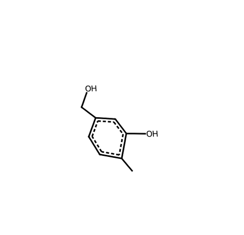 Cc1ccc(CO)cc1O